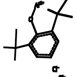 CC(C)(C)c1cccc(C(C)(C)C)c1[O][Al+2].[Cl-].[Cl-]